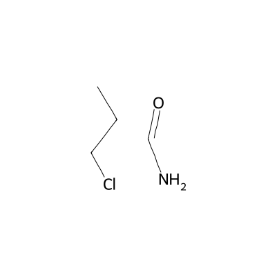 CCCCl.NC=O